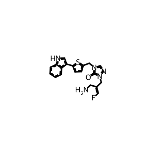 NC/C(=C\F)Cn1ncn(Cc2ccc(-c3c[nH]c4ccccc34)s2)c1=O